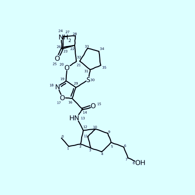 CCC1C2CC(CCO)CC(C2)C1NC(=O)c1onc(OCC2(C(N)=O)CCC2)c1SC1CCCC1